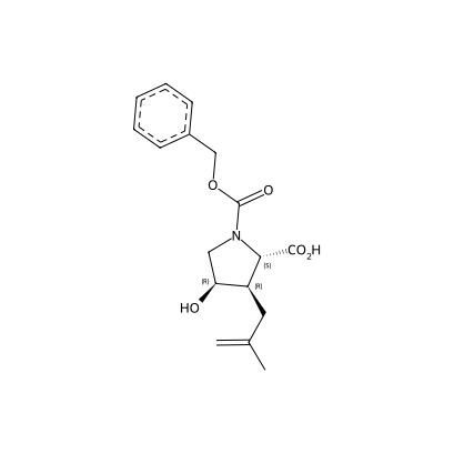 C=C(C)C[C@@H]1[C@@H](C(=O)O)N(C(=O)OCc2ccccc2)C[C@@H]1O